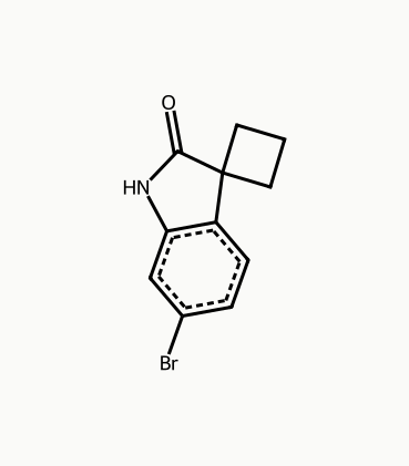 O=C1Nc2cc(Br)ccc2C12CCC2